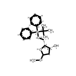 COC1C[C@@H](O)[C@@H](CO[Si](c2ccccc2)(c2ccccc2)C(C)(C)C)O1